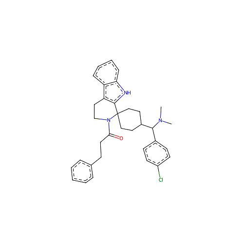 CN(C)C(c1ccc(Cl)cc1)C1CCC2(CC1)c1[nH]c3ccccc3c1CCN2C(=O)CCc1ccccc1